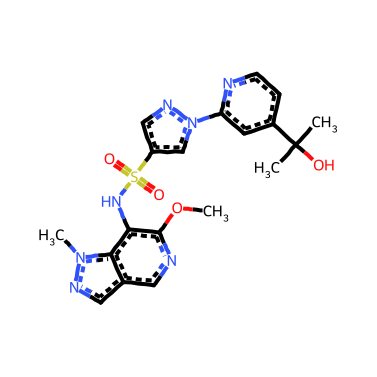 COc1ncc2cnn(C)c2c1NS(=O)(=O)c1cnn(-c2cc(C(C)(C)O)ccn2)c1